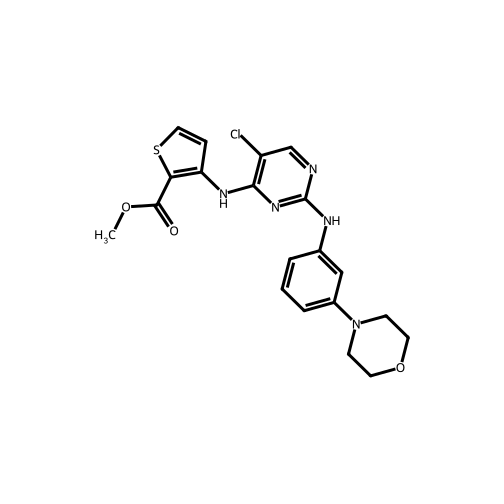 COC(=O)c1sccc1Nc1nc(Nc2cccc(N3CCOCC3)c2)ncc1Cl